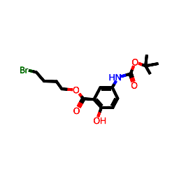 CC(C)(C)OC(=O)Nc1ccc(O)c(C(=O)OCCCCBr)c1